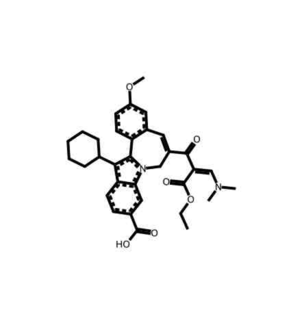 CCOC(=O)C(=CN(C)C)C(=O)C1=Cc2cc(OC)ccc2-c2c(C3CCCCC3)c3ccc(C(=O)O)cc3n2C1